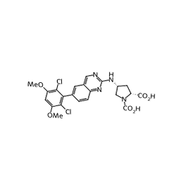 COc1cc(OC)c(Cl)c(-c2ccc3nc(N[C@@H]4C[C@H](C(=O)O)N(C(=O)O)C4)ncc3c2)c1Cl